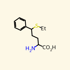 CCSC(CCC(N)C(=O)O)c1ccccc1